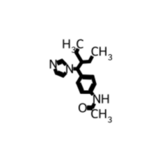 CCC(CC)C(c1ccc(NC(C)=O)cc1)n1ccnc1